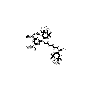 CCCCN(C)c1nc(N(CCCC)CCCC)nc(N(CCCCCCN(C(C)C)C2CC(C)(C)N(OCCC)C(C)(C)C2)C2CC(C)(C)N(OCCC)C(C)(C)C2)n1